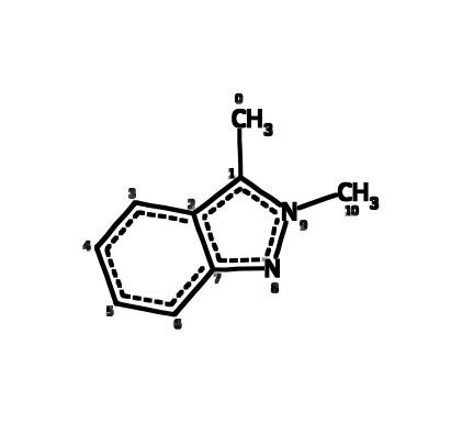 Cc1c2ccccc2nn1C